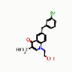 O=C(O)c1cn(CCO)c2ccc(Cc3cccc(Br)c3)cc2c1=O